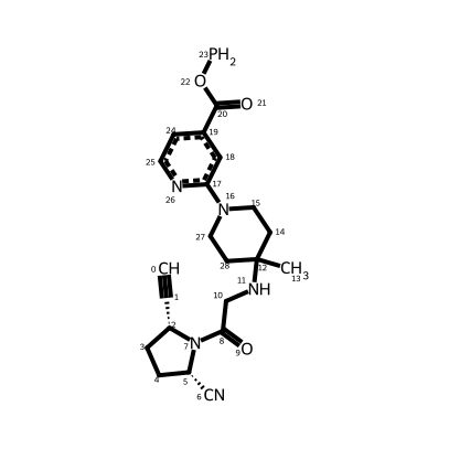 C#C[C@H]1CC[C@@H](C#N)N1C(=O)CNC1(C)CCN(c2cc(C(=O)OP)ccn2)CC1